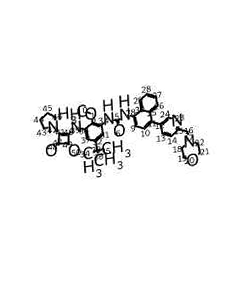 COc1c(NC(=O)Nc2ccc(-c3ccc(CN4CCOCC4)nc3)c3ccccc23)cc(C(C)(C)C)cc1Nc1c(N2CCCC2)c(=O)c1=O